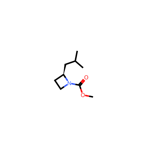 COC(=O)N1CC[C@H]1CC(C)C